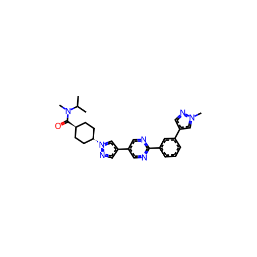 CC(C)N(C)C(=O)[C@H]1CC[C@H](n2cc(-c3cnc(-c4cccc(-c5cnn(C)c5)c4)nc3)cn2)CC1